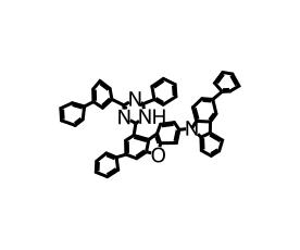 c1ccc(C2=NC(c3cccc(-c4ccccc4)c3)=NC(c3cc(-c4ccccc4)cc4oc5cc(-n6c7ccccc7c7cc(-c8ccccc8)ccc76)ccc5c34)N2)cc1